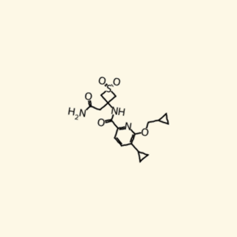 NC(=O)CC1(NC(=O)c2ccc(C3CC3)c(OCC3CC3)n2)CS(=O)(=O)C1